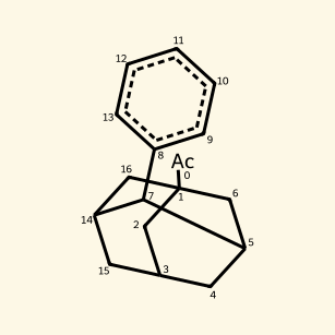 CC(=O)C12CC3CC(C1)C(c1ccccc1)C(C3)C2